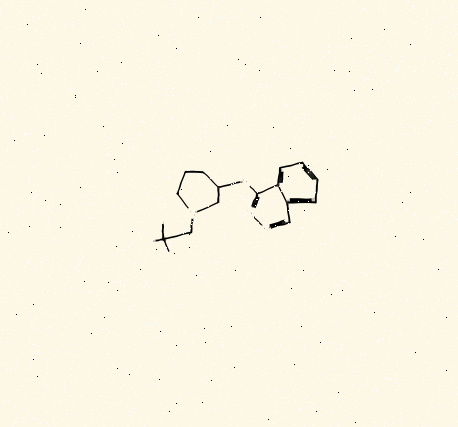 CC(C)(O)CN1CCCC(Nc2nncc3ccccc23)C1